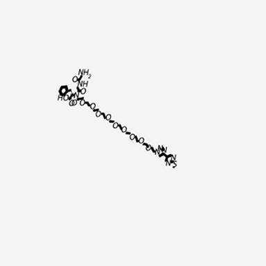 CSc1ncc(-c2cn(CCOCCOCCOCCOCCOCCOCCOCCOCCOCC(=O)N(C(=O)CNC(=O)CN)[C@@H](Cc3ccccc3)C(=O)O)nn2)cn1